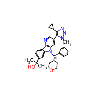 Cn1nnc(C2CC2)c1-c1cnc2c3ccc(C(C)(C)O)cc3n([C@H](c3ccccc3)C3CCOCC3)c2c1